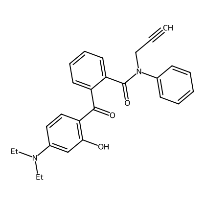 C#CCN(C(=O)c1ccccc1C(=O)c1ccc(N(CC)CC)cc1O)c1ccccc1